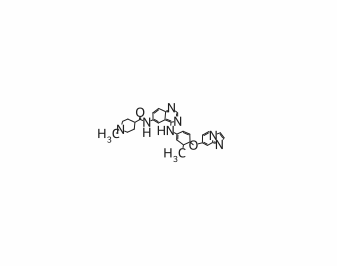 CC1C=C(Nc2ncnc3ccc(NC(=O)C4CCN(C)CC4)cc23)C=CC1Oc1ccn2ccnc2c1